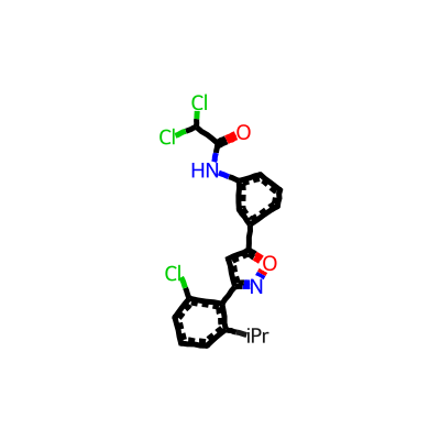 CC(C)c1cccc(Cl)c1-c1cc(-c2cccc(NC(=O)C(Cl)Cl)c2)on1